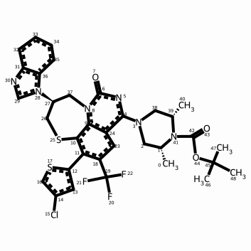 C[C@@H]1CN(c2nc(=O)n3c4c(c(-c5cc(Cl)cs5)c(C(F)(F)F)cc24)SC[C@@H](n2cnc4ccccc42)C3)C[C@H](C)N1C(=O)OC(C)(C)C